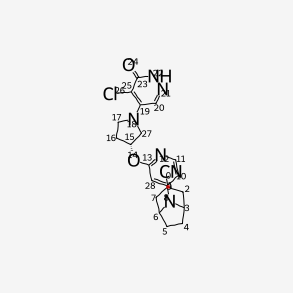 N#CC1CC2CCC(C1)N2c1ccnc(O[C@@H]2CCN(c3cn[nH]c(=O)c3Cl)C2)c1